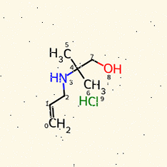 C=CCNC(C)(C)CO.Cl